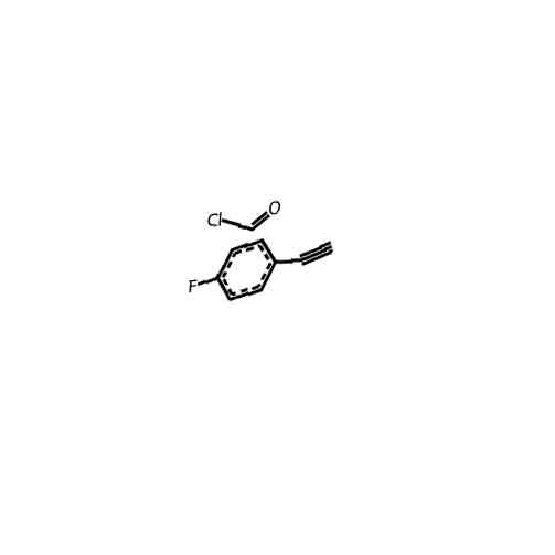 C#Cc1ccc(F)cc1.O=CCl